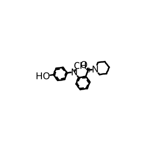 CN(c1ccc(O)cc1)c1ccccc1C(=O)N1CCCCC1